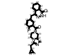 O=C(c1cc(Cc2n[nH]c(=O)c3ccccc23)ccc1F)N1CCn2c(CC3CC3)nnc2C1